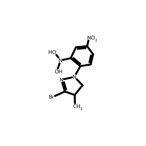 CC1CN(c2ccc([N+](=O)[O-])cc2N(O)O)N=C1Br